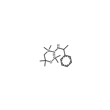 CC(N[SiH]1[Si](C)(C)CC(C)(C)O[Si]1(C)C)c1ccccc1